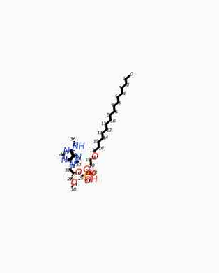 CCCCCCCCCCCCCCCCCCOCCOP(=O)(O)CO[C@H](COC)Cn1cnc2c(NC)ncnc21